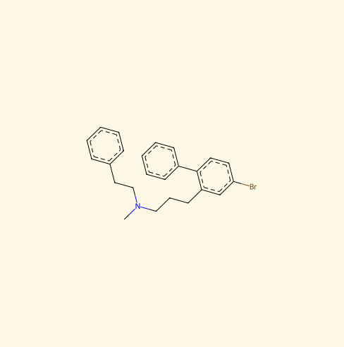 CN(CCCc1cc(Br)ccc1-c1ccccc1)CCc1ccccc1